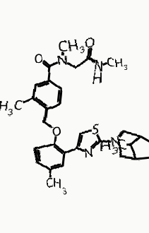 CNC(=O)CN(C)C(=O)c1ccc(COc2ccc(C)cc2-c2csc(N3CC4CCC(C3)C4C)n2)c(C)c1